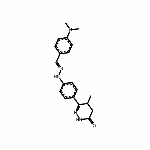 CC1CC(=O)NN=C1c1ccc(NN=Cc2ccc(N(C)C)cc2)cc1